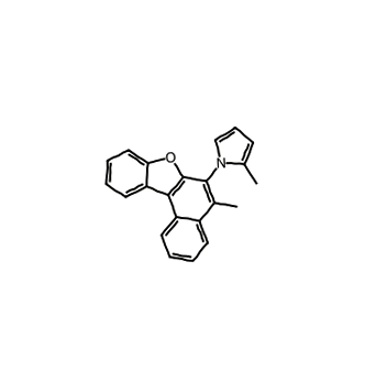 Cc1c(-n2cccc2C)c2oc3ccccc3c2c2ccccc12